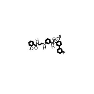 CCOc1ccc(-c2cccc(F)c2)cc1[S+]([O-])Nc1cccc(NCCNC(=O)c2ccccc2OC)c1